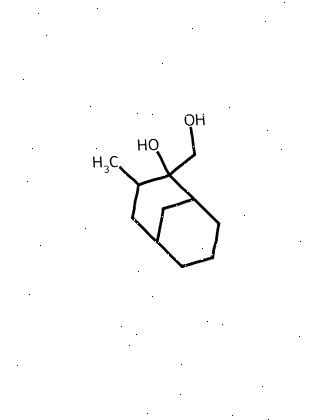 CC1CC2CCCC(C2)C1(O)CO